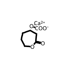 O=C([O-])[O-].O=C1CCCCCO1.[Ca+2]